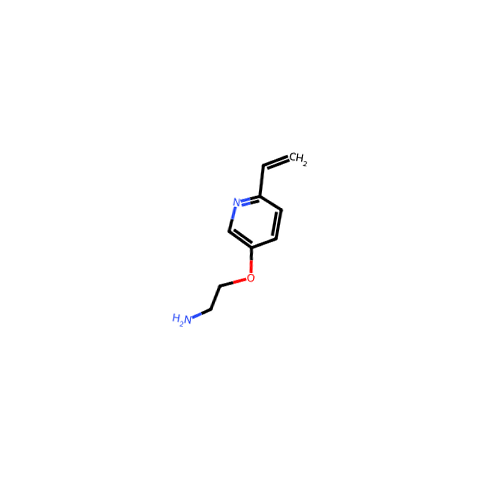 C=Cc1ccc(OCCN)cn1